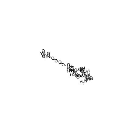 CC1=CC(=O)N(CCC(=O)NCCOCCOCCOCCOCCC(=O)Nc2ncnc3c2ncn3C2OC3COP(=O)(S)OC4C(COP(=O)(O)OC3C2S)OC(n2cnc3c(=O)[nH]c(N)nc32)C4O)C1=O